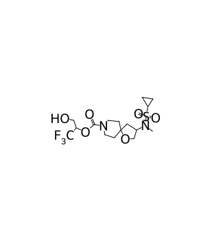 CN(C1COC2(CCN(C(=O)OC(CO)C(F)(F)F)CC2)C1)S(=O)(=O)C1CC1